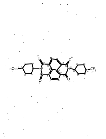 CCCCCCCCC1CCC(N2C(=O)c3ccc4c5c(ccc(c35)C2=O)C(=O)N(C2CCC(C(F)(F)F)CC2)C4=O)CC1